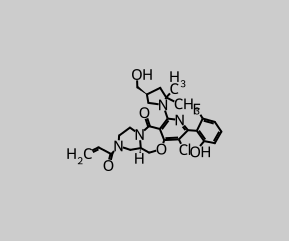 C=CC(=O)N1CCN2C(=O)c3c(N4C[C@@H](CO)CC4(C)C)nc(-c4c(O)cccc4F)c(Cl)c3OC[C@H]2C1